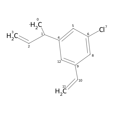 [CH2]C(C=C)c1cc(Cl)cc(C=C)c1